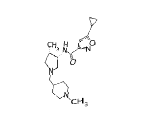 C[C@H]1CN(CC2CCN(C)CC2)C[C@H]1NC(=O)c1cc(C2CC2)on1